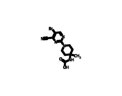 CC1(NC(=O)O)CCN(c2ncc(Br)c(C#N)n2)CC1